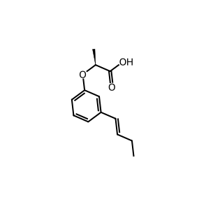 CC/C=C/c1cccc(O[C@@H](C)C(=O)O)c1